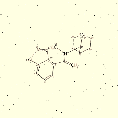 C=C(c1cccc2oncc12)N(C)C1CN2CCC1CC2